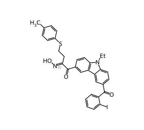 CCn1c2ccc(C(=O)/C(CCSc3ccc(C)cc3)=N/O)cc2c2cc(C(=O)c3ccccc3I)ccc21